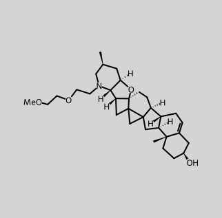 COCCOCCN1C[C@@H](C)C[C@H]2O[C@@]34CC[C@H]5[C@@H]6CC=C7C[C@@H](O)CC[C@]7(C)[C@H]6CC56CC63C[C@@H]4[C@@H]21